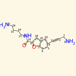 NCC#Cc1ccc2oc(C(=O)NCCCCN)cc2c1